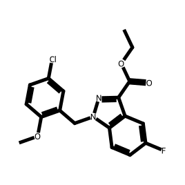 CCOC(=O)c1nn(Cc2cc(Cl)ccc2OC)c2ccc(F)cc12